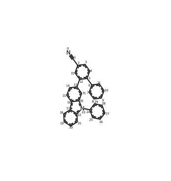 N#Cc1ccc(-c2ccccc2)c(-c2ccc3c4ccccc4n(-c4ccccc4)c3c2)c1